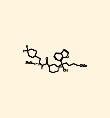 CNC[C@H](CC1CCC(F)(F)CC1)NC(=O)N1CCC[C@@H]([C@@](O)(CCCCOC)c2cccc3ccoc23)C1